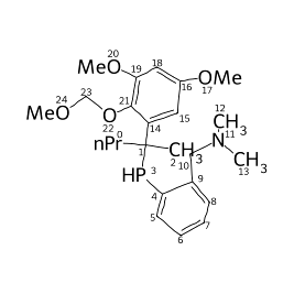 CCCC(C)(Pc1ccccc1CN(C)C)c1cc(OC)cc(OC)c1OCOC